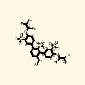 O=Pc1ccc(-c2ccc(OC(F)=C(F)F)c(S(=O)(=O)Cl)c2)c(S(=O)(=O)F)c1-c1ccc(OC(F)=C(F)F)c(S(=O)(=O)Cl)c1